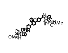 COC(=O)NC(C(=O)N1C(C)CCC1c1nc2cc(-c3ccc(-c4ccc(-c5cnc([C@@H]6CCC(C)N6C(=O)C(NC(=O)OC)C(C)C)[nH]5)cc4)c4c3C3CC[C@H]4C3)ccc2[nH]1)C(C)C